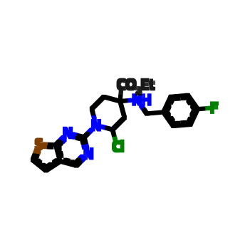 CCOC(=O)C1(NCc2ccc(F)cc2)CCN(c2ncc3ccsc3n2)C(Cl)C1